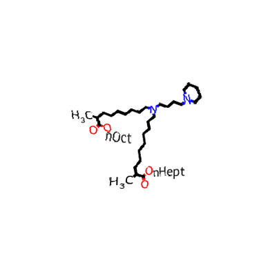 CCCCCCCCOC(=O)C(C)CCCCCCCN(CCCCCCCCC(C)C(=O)OCCCCCCC)CCCCN1CCCCC1